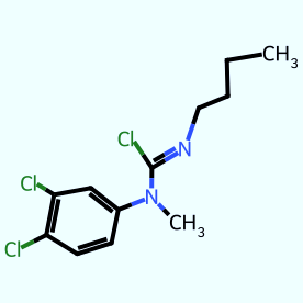 CCCCN=C(Cl)N(C)c1ccc(Cl)c(Cl)c1